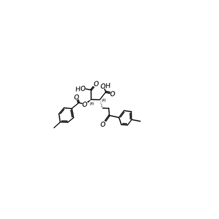 Cc1ccc(C(=O)CC[C@@H](C(=O)O)[C@@H](OC(=O)c2ccc(C)cc2)C(=O)O)cc1